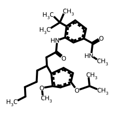 CCCCCC(CC(=O)Nc1cc(C(=O)NC)ccc1C(C)(C)C)c1ccc(OC(C)C)cc1OC